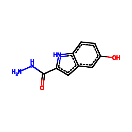 NNC(=O)c1cc2cc(O)ccc2[nH]1